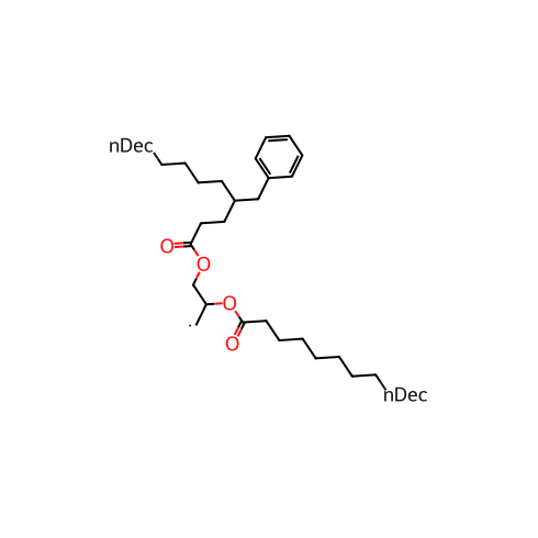 [CH2]C(COC(=O)CCC(CCCCCCCCCCCCCC)Cc1ccccc1)OC(=O)CCCCCCCCCCCCCCCCC